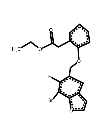 CCOC(=O)Cc1ccccc1OCc1cc2ccoc2c(Br)c1F